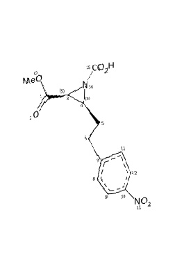 COC(=O)[C@@H]1[C@H](CCc2ccc([N+](=O)[O-])cc2)N1C(=O)O